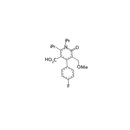 COCc1c(-c2ccc(F)cc2)c(C(=O)O)c(C(C)C)n(C(C)C)c1=O